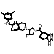 Cc1cc(C)cc(Nc2ncc3c(n2)CCN([C@@H]2CN(C(=O)c4ccc5[nH]nnc5c4)C[C@@H]2F)C3)c1